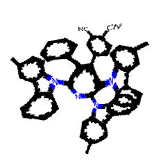 Cc1ccc2c(c1)c1ccccc1n2-c1nc(-n2c3ccccc3c3cc(C)ccc32)c(-n2c3ccccc3c3cc(C)ccc32)c(-c2ccc(C#N)c(C#N)c2)c1-c1ccccc1